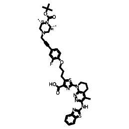 Cc1c(Nc2nc3ccccc3s2)nnc2c1CCCN2c1nc(C(=O)O)c(CCCOc2ccc(C#CCN3C[C@@H](C)N(C(=O)OC(C)(C)C)[C@@H](C)C3)cc2F)s1